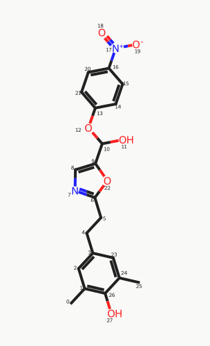 Cc1cc(CCc2ncc(C(O)Oc3ccc([N+](=O)[O-])cc3)o2)cc(C)c1O